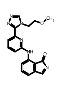 COCCn1cnnc1-c1cccc(Nc2cccc3c2C(=O)N=C3)n1